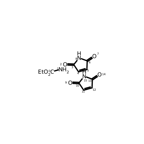 CCOC(N)=O.O=C1C=CC(=O)N1.O=C1C=CC(=O)N1